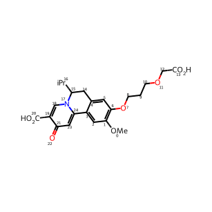 COc1cc2c(cc1OCCCOCC(=O)O)CC(C(C)C)n1cc(C(=O)O)c(=O)cc1-2